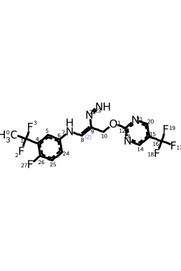 CC(F)(F)c1cc(N/C=C(/COc2ncc(C(F)(F)F)cn2)N=N)ccc1F